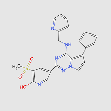 CS(=O)(=O)c1cc(-c2nc(NCc3ccccn3)c3c(-c4ccccc4)ccn3n2)cnc1O